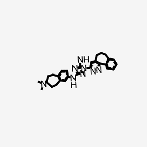 CN(C)[C@H]1CCc2ccc(Nc3nc(N)n(-c4cc5c(nn4)-c4ccccc4CCC5)n3)cc2CC1